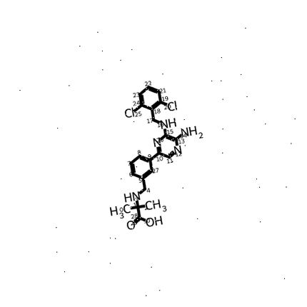 CC(C)(NCc1cccc(-c2cnc(N)c(NCc3c(Cl)cccc3Cl)n2)c1)C(=O)O